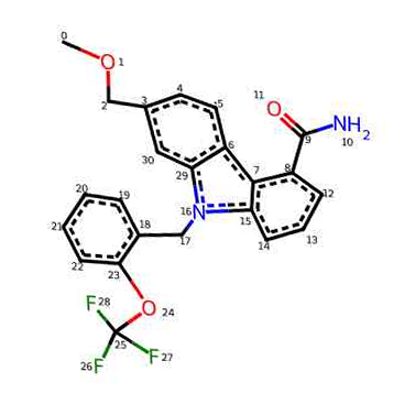 COCc1c[c]c2c3c(C(N)=O)cccc3n(Cc3ccccc3OC(F)(F)F)c2c1